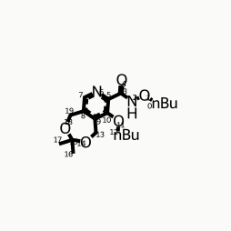 CCCCONC(=O)c1ncc2c(c1OCCCC)COC(C)(C)OC2